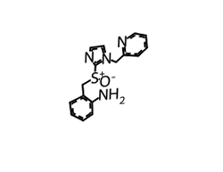 Nc1ccccc1C[S+]([O-])c1nccn1Cc1ccccn1